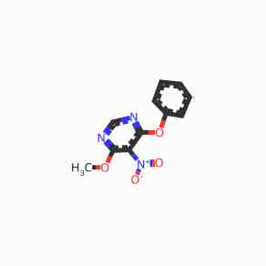 COc1ncnc(Oc2c[c]ccc2)c1[N+](=O)[O-]